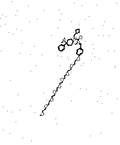 COCCOCCOCCOCCOCCOCCOCCOCCOc1ccc(CN2C[C@]3(CC[C@](c4ccccc4)(N(C)C)CC3)N(CC3CCC3)C2=O)cc1